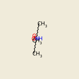 CCCCCCCCCCNCCCCCCCCCC.COC=O